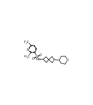 Cc1nc(C(F)(F)F)ccc1S(=O)(=O)NC1CC2(C1)CN(C1CCOCC1)C2